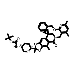 Cc1cc(C)c(CN2CC3(CC3)c3cc4c(c(C)c3C2=O)OC(C)([C@@H]2CC[C@@H](NC(=O)OC(C)(C)C)CO2)O4)c(OCc2ccccc2)n1